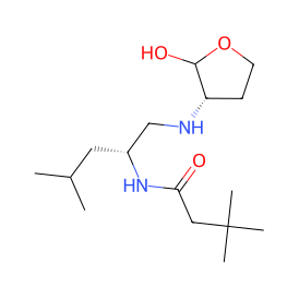 CC(C)C[C@H](CN[C@H]1CCOC1O)NC(=O)CC(C)(C)C